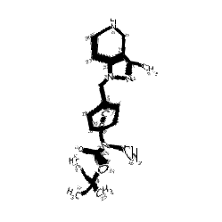 Cc1nn(CC23CCC(N(C)C(=O)OC(C)(C)C)(CC2)CC3)c2c1CNCC2